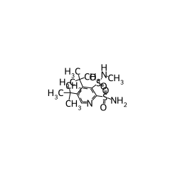 CNS(=O)(=O)c1c(S(N)(=O)=O)ncc(C(C)(C)C)c1C(C)(C)C